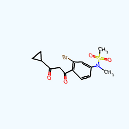 CN(c1ccc(C(=O)CC(=O)C2CC2)c(Br)c1)S(C)(=O)=O